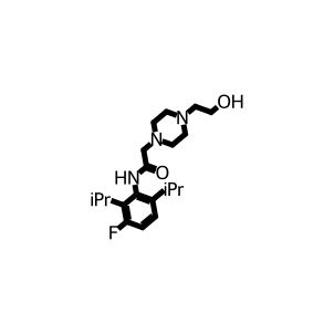 CC(C)c1ccc(F)c(C(C)C)c1NC(=O)CN1CCN(CCO)CC1